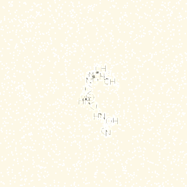 CCCCC(C)(C)CN1CCN(c2ccc(S(=O)(=O)Nc3ccc(CCNCC(O)c4cccnc4)cc3)cc2)C1=O